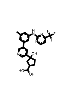 Cc1cc(Nc2nccc(C(F)(F)F)n2)cc(-c2cncc(C3(O)CCC(C(O)O)C3)c2)c1